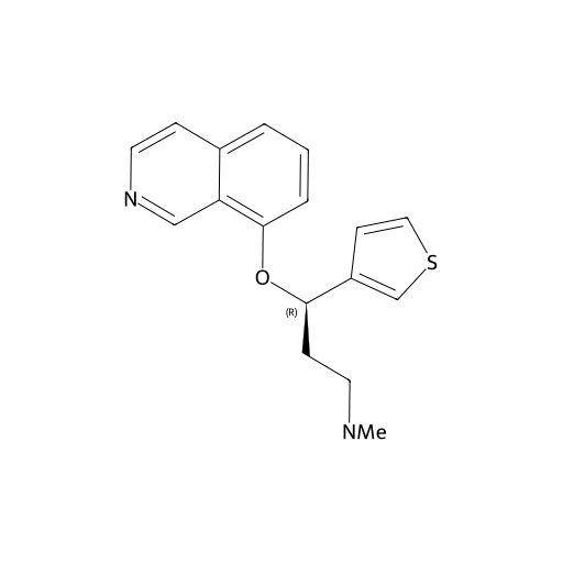 CNCC[C@@H](Oc1cccc2ccncc12)c1ccsc1